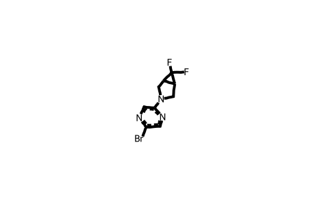 FC1(F)C2CN(c3cnc(Br)cn3)CC21